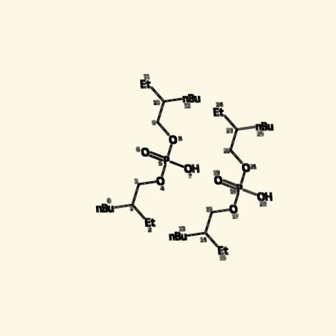 CCCCC(CC)COP(=O)(O)OCC(CC)CCCC.CCCCC(CC)COP(=O)(O)OCC(CC)CCCC